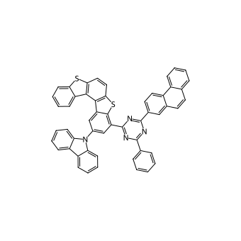 c1ccc(-c2nc(-c3ccc4c(ccc5ccccc54)c3)nc(-c3cc(-n4c5ccccc5c5ccccc54)cc4c3sc3ccc5sc6ccccc6c5c34)n2)cc1